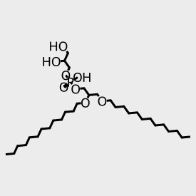 CCCCCCCCCCCCCOCC(COP(=O)(O)OCC(O)CO)OCCCCCCCCCCCCC